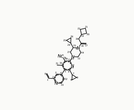 C=Cc1cc(-c2c(C3CC3)nc(N3CCN(C(=C)CC4CCC4)C(C4CC4)C3)c(C#N)c2C)ccn1